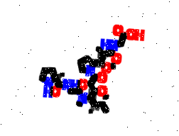 CC[C@H](C)[C@@H]([C@@H](CC(=O)N1CCC[C@H]1[C@H](OC)[C@@H](C)C(=O)NCC(=O)O)OC)N(C)C(=O)CNC(=O)[C@]1(C)CCCN1